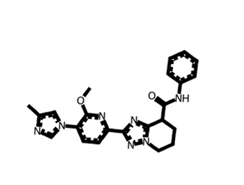 COc1nc(-c2nc3n(n2)CCCC3C(=O)Nc2ccccc2)ccc1-n1cnc(C)c1